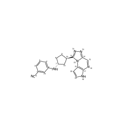 N#Cc1cccc(N[C@@H]2CC[C@@H](c3nnc4cnc5[nH]ccc5n34)C2)c1